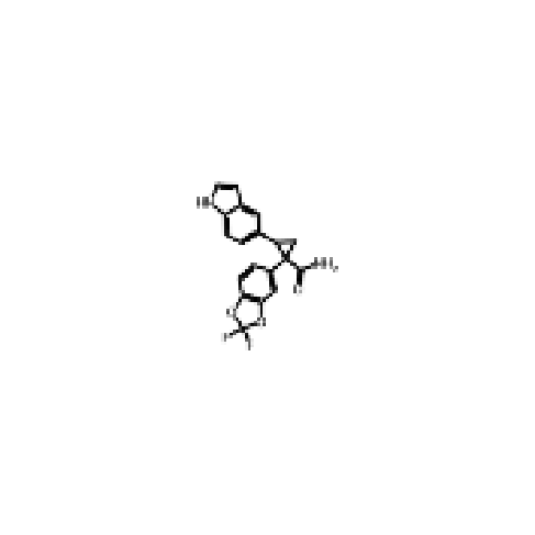 NC(=O)C1(c2ccc3c(c2)OC(F)(F)O3)CC1c1ccc2[nH]ccc2c1